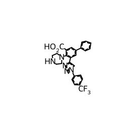 O=C(O)c1cc(-c2ccccc2)cc(-c2cn(-c3ccc(C(F)(F)F)cc3)nn2)c1N1CCNCC1